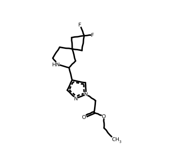 CCOC(=O)Cn1cc(C2CC3(CCN2)CC(F)(F)C3)cn1